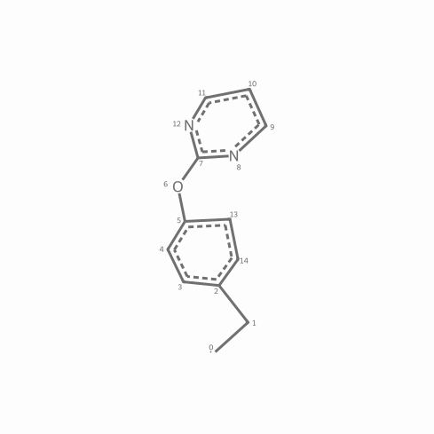 [CH2]Cc1ccc(Oc2ncccn2)cc1